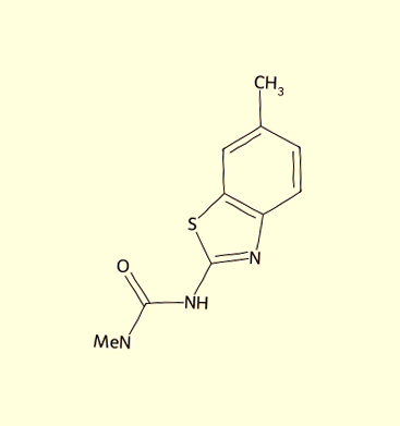 CNC(=O)Nc1nc2ccc(C)cc2s1